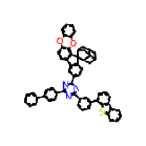 c1ccc(-c2ccc(-c3nc(-c4cccc(-c5cccc6c5sc5ccccc56)c4)nc(-c4ccc5c(c4)-c4ccc6c(c4C54C5CC7CC(C5)CC4C7)Oc4ccccc4O6)n3)cc2)cc1